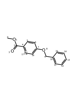 COC(=O)c1ccc(OCc2ccccc2)cn1